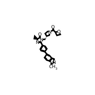 Cn1ncc2cc(-c3ccc(C4=NC5(CC5)C(=O)N4C[C@@H]4CCN(C(=O)C5CCO5)C4)cc3)ccc21